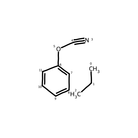 CCC.N#COc1ccccc1